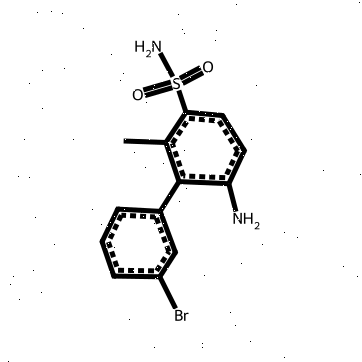 Cc1c(S(N)(=O)=O)ccc(N)c1-c1cccc(Br)c1